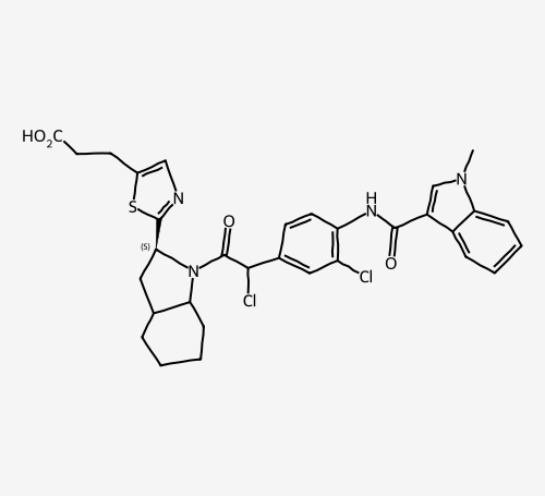 Cn1cc(C(=O)Nc2ccc(C(Cl)C(=O)N3C4CCCCC4C[C@H]3c3ncc(CCC(=O)O)s3)cc2Cl)c2ccccc21